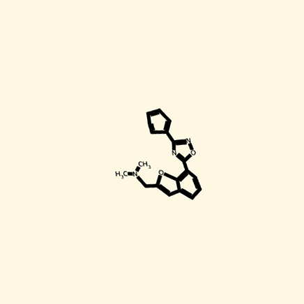 CN(C)Cc1cc2cccc(-c3nc(-c4ccccc4)no3)c2o1